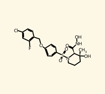 C[C@@]1(O)CCCN(S(=O)(=O)c2ccc(OCc3ccc(Cl)cc3F)cc2)[C@H]1C(=O)NO